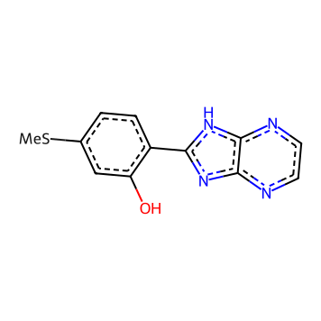 CSc1ccc(-c2nc3nccnc3[nH]2)c(O)c1